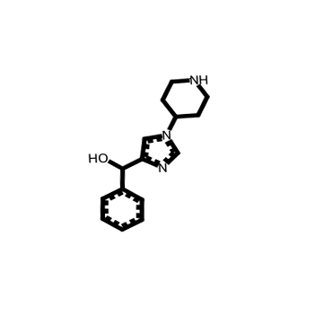 OC(c1ccccc1)c1cn(C2CCNCC2)cn1